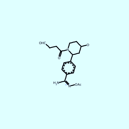 CC(=O)O/N=C(/N)c1ccc(C2CC([O])CCN2C(=O)CCC=O)cc1